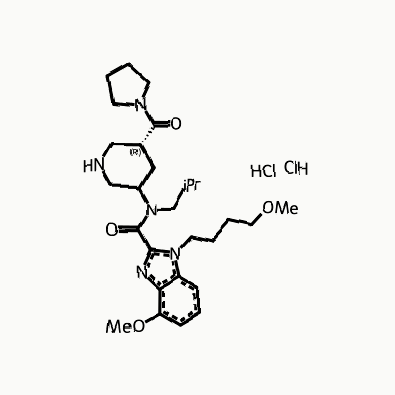 COCCCCn1c(C(=O)N(CC(C)C)C2CNC[C@H](C(=O)N3CCCC3)C2)nc2c(OC)cccc21.Cl.Cl